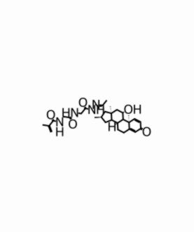 C=C(C)C(=O)NCC(=O)NCC(=O)N/N=C(/C)[C@H]1[C@H](C)CC2[C@@H]3CCC4=CC(=O)C=C[C@]4(C)C3[C@@H](O)C[C@@]21C